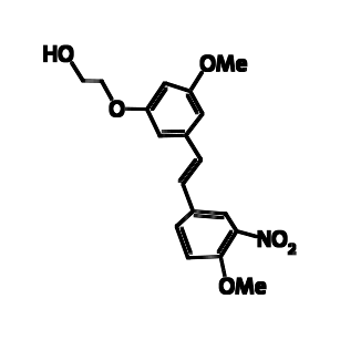 COc1cc(C=Cc2ccc(OC)c([N+](=O)[O-])c2)cc(OCCO)c1